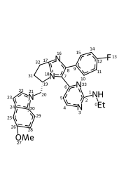 CCNc1nccc(-c2c(-c3ccc(F)cc3)nc3n2[C@H](Cn2ccc4cc(OC)ccc42)CC3)n1